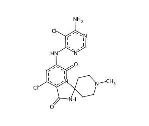 CN1CCC2(CC1)NC(=O)c1c(Cl)cc(Nc3ncnc(N)c3Cl)c(=O)n12